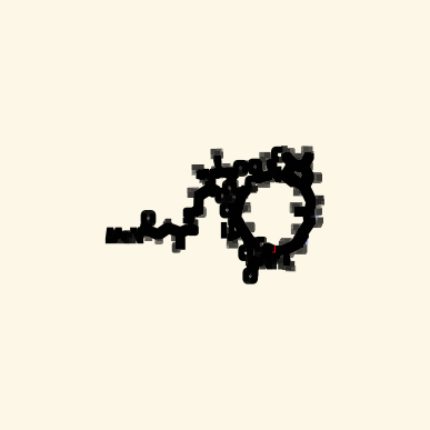 CNC(=O)CCC(C)SSCCC(=O)N(C)[C@@H](C)C(=O)O[C@H]1CC(=O)N(C)c2cc(cc(C)c2Cl)C/C(C)=C/C=C/[C@@H](C)[C@@]2(O)CC(OC(=O)N2)[C@@H](C)[C@@H]2O[C@@]12C